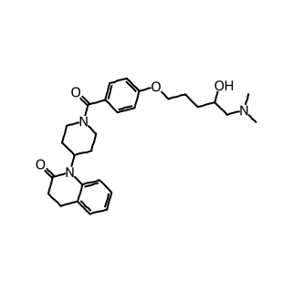 CN(C)CC(O)CCCOc1ccc(C(=O)N2CCC(N3C(=O)CCc4ccccc43)CC2)cc1